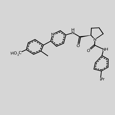 Cc1cc(C(=O)O)ccc1-c1ccc(NC(=O)[C@H]2CCCN2C(=O)Nc2ccc(C(C)C)cc2)cn1